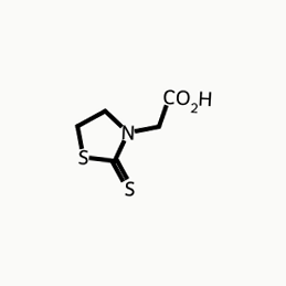 O=C(O)CN1CCSC1=S